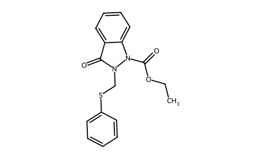 CCOC(=O)n1c2ccccc2c(=O)n1CSc1ccccc1